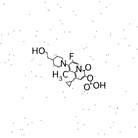 Cc1c(N2CCC(CCO)CC2)c(F)cn2c(=O)c(OC(=O)O)cc(C3CC3)c12